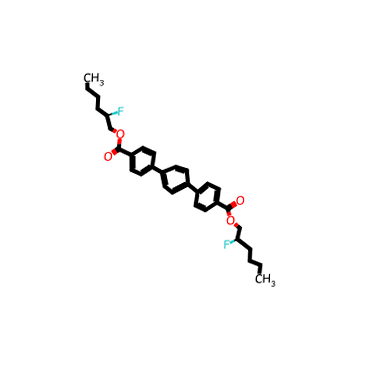 CCCC[C@@H](F)COC(=O)c1ccc(-c2ccc(-c3ccc(C(=O)OC[C@H](F)CCCC)cc3)cc2)cc1